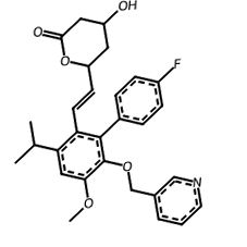 COc1cc(C(C)C)c(C=CC2CC(O)CC(=O)O2)c(-c2ccc(F)cc2)c1OCc1cccnc1